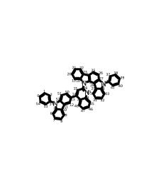 c1ccc(-n2c3ccccc3c3cc(-c4cc(-n5c6ccccc6c6ccc7c(c8ccccc8n7-c7ccccc7)c65)nc5ccccc45)ccc32)cc1